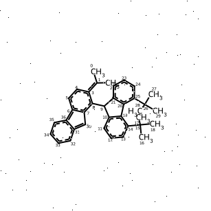 CC(C)=c1ccc2c(c1C1c3cccc(C(C)(C)C)c3-c3c1cccc3C(C)(C)C)[C]=c1ccccc1=2